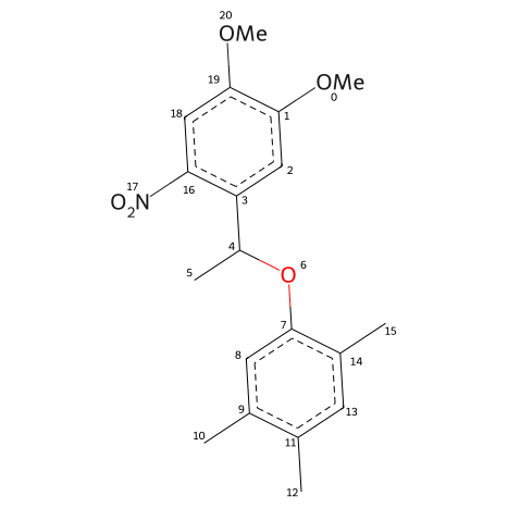 COc1cc(C(C)Oc2cc(C)c(C)cc2C)c([N+](=O)[O-])cc1OC